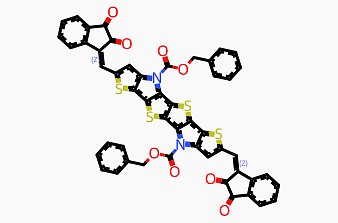 O=C1C(=O)c2ccccc2/C1=C/c1cc2c(s1)c1sc3c(sc4c5sc(/C=C6\C(=O)C(=O)c7ccccc76)cc5n(C(=O)OCc5ccccc5)c43)c1n2C(=O)OCc1ccccc1